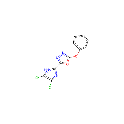 Clc1nc(-c2nnc(Oc3ccccc3)o2)[nH]c1Cl